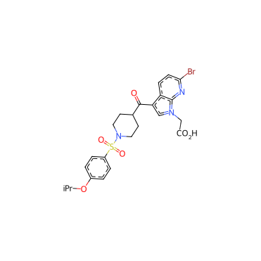 CC(C)Oc1ccc(S(=O)(=O)N2CCC(C(=O)c3cn(CC(=O)O)c4nc(Br)ccc34)CC2)cc1